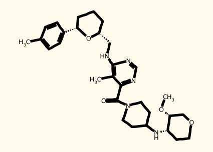 CO[C@@H]1COCC[C@@H]1NC1CCN(C(=O)c2ncnc(NC[C@H]3CCC[C@@H](c4ccc(C)cc4)O3)c2C)CC1